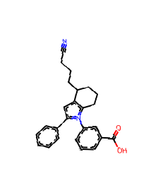 N#CCCCC1CCCc2c1cc(-c1ccccc1)n2-c1cccc(C(=O)O)c1